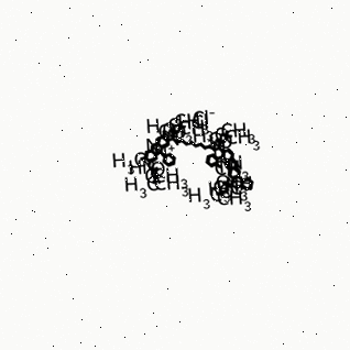 Cc1cc2nc3cc(C)c(N(CCCCCCCCCN(C(=O)OC(C)(C)C)c4ccc5nc6cc(-c7ccccc7C)c(NC(=O)OC(C)(C)C)cc6nc5c4-c4ccccc4C)C(=O)OC(C)(C)C)cc3[n+](-c3ccccc3)c2cc1NC(=O)OC(C)(C)C.Cl.[Cl-]